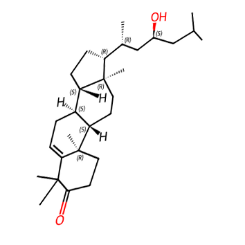 CC(C)C[C@H](O)C[C@@H](C)[C@H]1CC[C@H]2[C@@H]3CC=C4C(C)(C)C(=O)CC[C@]4(C)[C@H]3CC[C@]12C